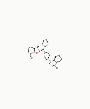 N#Cc1cccc2c1oc1c(-c3ccc(-c4ccc(Br)c5ccccc45)cc3)c3ccccc3cc12